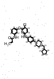 C=CC(=O)Nc1cccc(Oc2nc(Nc3ccc(N4CCN(CC5CCCC5)CC4)cc3)ccc2Cl)c1